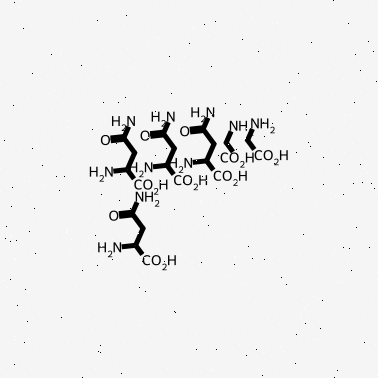 NC(=O)CC(N)C(=O)O.NC(=O)CC(N)C(=O)O.NC(=O)CC(N)C(=O)O.NC(=O)CC(N)C(=O)O.NCC(=O)O.NCC(=O)O